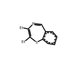 CCC1=C(CC)Sc2ccccc2C=N1